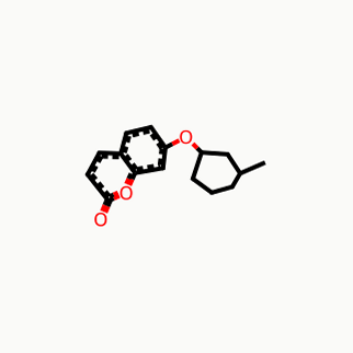 CC1CCCC(Oc2ccc3ccc(=O)oc3c2)C1